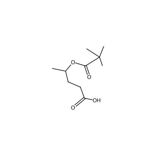 CC(CCC(=O)O)OC(=O)C(C)(C)C